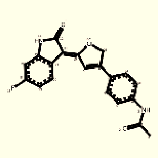 CC(=O)Nc1ccc(C2=CC(=C3C(=O)Nc4cc(F)ccc43)OC2)cc1